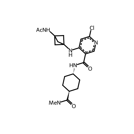 CNC(=O)[C@H]1CC[C@H](NC(=O)c2cnc(Cl)cc2NC23CC(NC(C)=O)(C2)C3)CC1